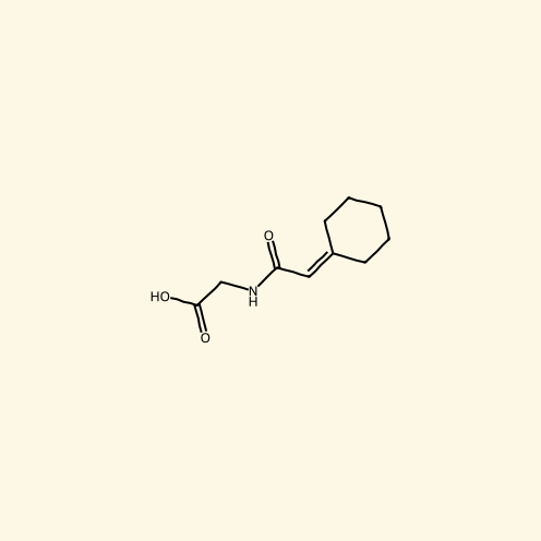 O=C(O)CNC(=O)C=C1CCCCC1